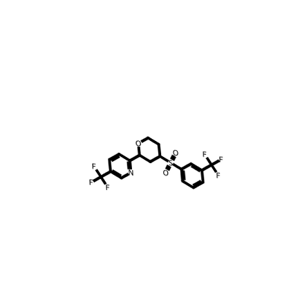 O=S(=O)(c1cccc(C(F)(F)F)c1)C1CCOC(c2ccc(C(F)(F)F)cn2)C1